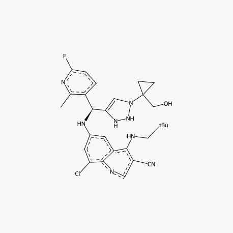 Cc1nc(F)ccc1[C@H](Nc1cc(Cl)c2ncc(C#N)c(NCC(C)(C)C)c2c1)C1=CN(C2(CO)CC2)NN1